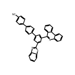 N#Cc1ccc(-c2ccc(-c3cc(-c4nc5ccccc5s4)cc(-c4nc5ccccc5c5ccccc45)c3)cc2)cc1